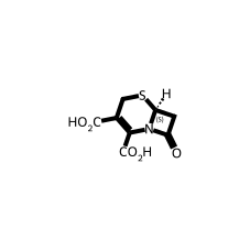 O=C(O)C1=C(C(=O)O)N2C(=O)C[C@@H]2SC1